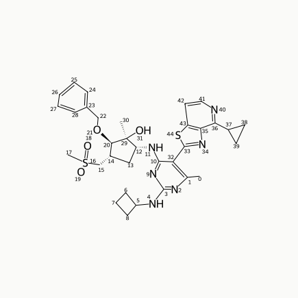 Cc1nc(NC2CCC2)nc(N[C@@H]2C[C@H](CS(C)(=O)=O)[C@@H](OCc3ccccc3)[C@@]2(C)O)c1-c1nc2c(C3CC3)nccc2s1